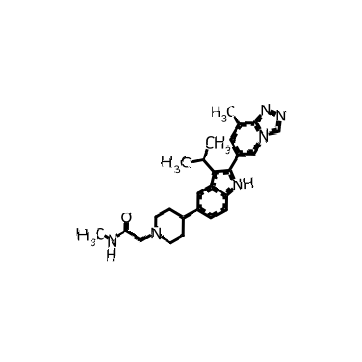 CNC(=O)CN1CCC(c2ccc3[nH]c(-c4cc(C)c5nncn5c4)c(C(C)C)c3c2)CC1